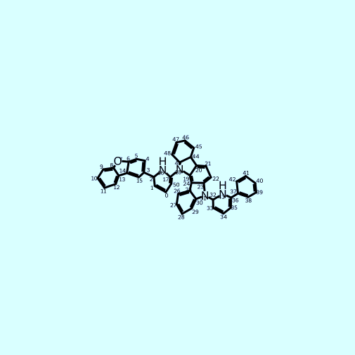 C1=CC(c2ccc3oc4ccccc4c3c2)NC(N2c3c(ccc4c3c3ccccc3n4C3C=CC=C(c4ccccc4)N3)C3C=CC=CC32)=C1